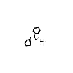 N=C(N)NC(=O)[C@H](Cc1ccc(F)cc1)c1ccc(Cl)cc1